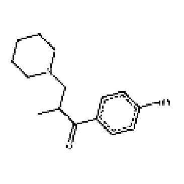 CCCc1ccc(C(=O)C(C)CN2CCCCC2)cc1